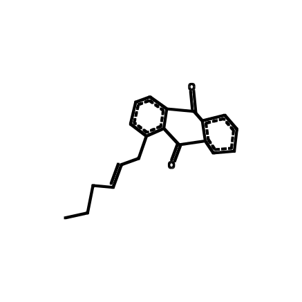 CCCC=CCc1cccc2c1C(=O)c1ccccc1C2=O